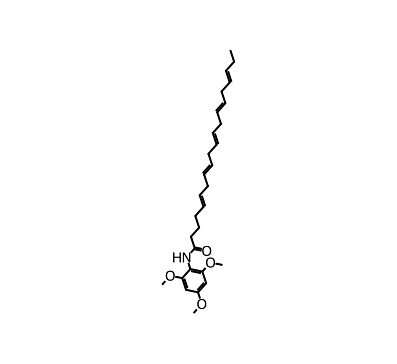 CCC=CCC=CCC=CCC=CCC=CCCCC(=O)Nc1c(OC)cc(OC)cc1OC